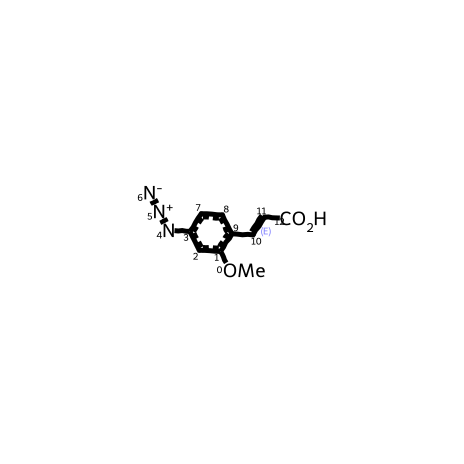 COc1cc(N=[N+]=[N-])ccc1/C=C/C(=O)O